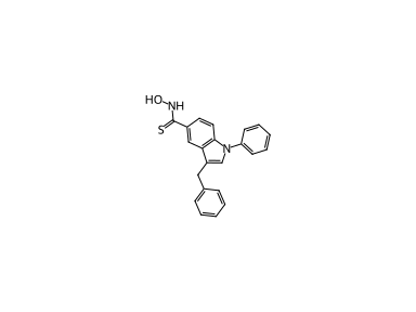 ONC(=S)c1ccc2c(c1)c(Cc1ccccc1)cn2-c1ccccc1